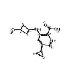 COC1CC(Nc2cc(C3CC3)nnc2C(=O)O)C1